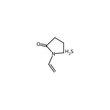 C=CN1CCCC1=O.S